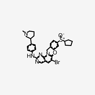 CN1CCCC(c2ccc(Nc3ncc4cc(Br)c(=O)n(Cc5ccc([S+]([O-])C6CCCC6)cc5)c4n3)cc2)C1